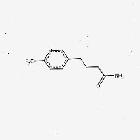 NC(=O)CCCc1ccc(C(F)(F)F)nc1